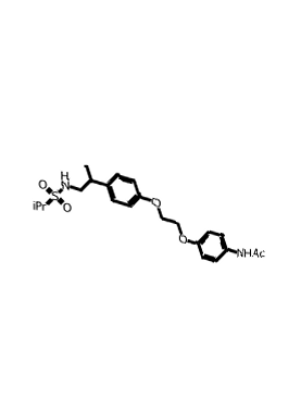 CC(=O)Nc1ccc(OCCOc2ccc(C(C)CNS(=O)(=O)C(C)C)cc2)cc1